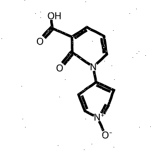 O=C(O)c1cccn(-c2cc[n+]([O-])cc2)c1=O